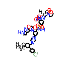 CC1(C)CCC(CN2CCN(c3ccc(C(=O)NS(=O)(=O)c4ccc(NCCN5CCCOP5(C)=O)c([N+](=O)[O-])c4)c(N4CCOc5nc6[nH]ccc6cc54)c3)CC2)=C(c2ccc(Cl)cc2)C1